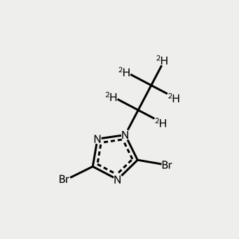 [2H]C([2H])([2H])C([2H])([2H])n1nc(Br)nc1Br